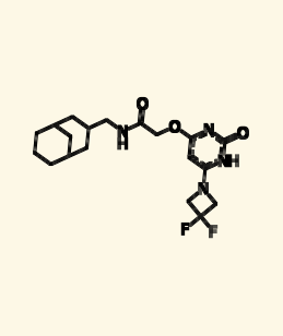 O=C(COc1cc(N2CC(F)(F)C2)[nH]c(=O)n1)NCC1CC2CCCC(C2)C1